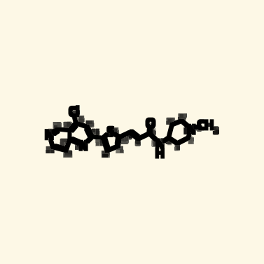 CN1CCC(NC(=O)/C=C/c2ccc(-c3cc(Cl)c4cnccc4n3)s2)CC1